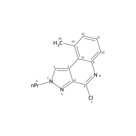 CCCn1cc2c(n1)c(Cl)nc1cccc(C)c12